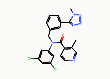 Cc1cnccc1C(=O)N(Cc1cccc(-c2nnnn2C)c1)c1cc(Cl)cc(Cl)c1